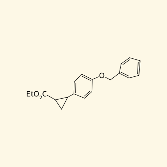 CCOC(=O)C1CC1c1ccc(OCc2ccccc2)cc1